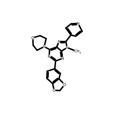 Cn1c(-c2ccncc2)nc2c(N3CCOCC3)nc(-c3ccc4c(c3)OCO4)nc21